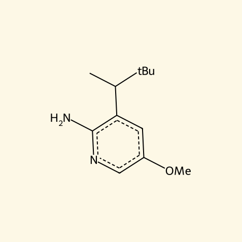 COc1cnc(N)c(C(C)C(C)(C)C)c1